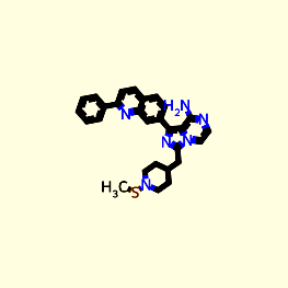 CSN1CCC(Cc2nc(-c3ccc4ccc(-c5ccccc5)nc4c3)c3c(N)nccn23)CC1